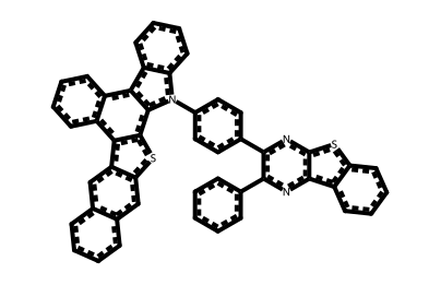 c1ccc(-c2nc3c(nc2-c2ccc(-n4c5ccccc5c5c6ccccc6c6c7cc8ccccc8cc7sc6c54)cc2)sc2ccccc23)cc1